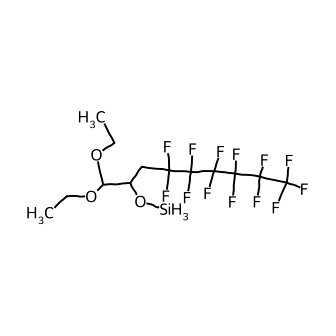 CCOC(OCC)C(CC(F)(F)C(F)(F)C(F)(F)C(F)(F)C(F)(F)C(F)(F)F)O[SiH3]